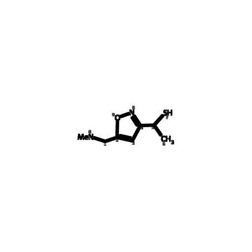 CNCc1cc(C(C)S)no1